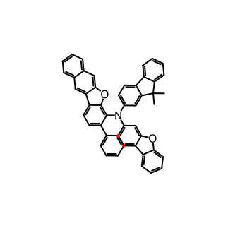 CC1(C)c2ccccc2-c2ccc(N(c3ccc4c(c3)oc3ccccc34)c3c(-c4ccccc4)ccc4c3oc3cc5ccccc5cc34)cc21